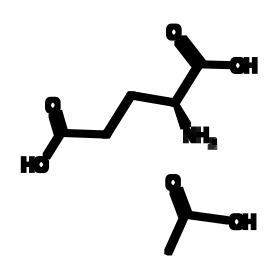 CC(=O)O.N[C@@H](CCC(=O)O)C(=O)O